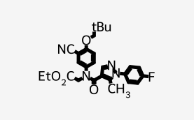 CCOC(=O)CN(C(=O)c1cnn(-c2ccc(F)cc2)c1C)c1ccc(OCC(C)(C)C)c(C#N)c1